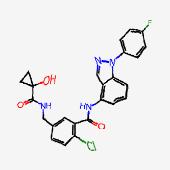 O=C(Nc1cccc2c1cnn2-c1ccc(F)cc1)c1cc(CNC(=O)C2(O)CC2)ccc1Cl